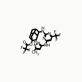 Cc1cc(Nc2cc(C(F)(F)F)nc(NC3C4CC5CC3CC(OC(=O)C(F)(F)F)(C5)C4)n2)n[nH]1